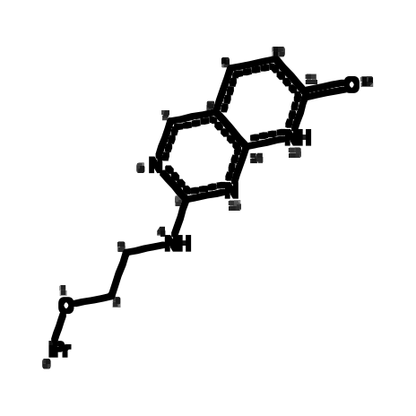 CC(C)OCCNc1ncc2ccc(=O)[nH]c2n1